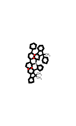 CC1(C)c2ccccc2-c2cccc(-c3ccccc3N(c3ccc4c(c3)C(C)(c3ccccc3)c3ccccc3-4)c3ccccc3-c3ccc(-c4ccccc4)cc3)c21